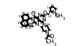 C=CC(=O)N1CCN(c2nc(OC[C@@H]3CCCN3C)nc3c(=O)n(-c4cccc5cccc(Cl)c45)c(C)nc23)CC1